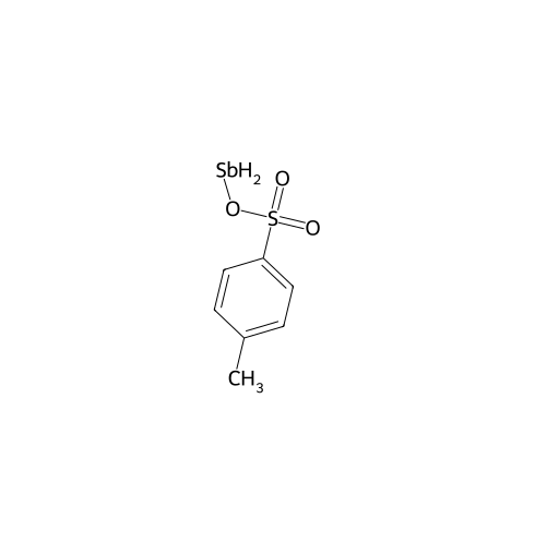 Cc1ccc(S(=O)(=O)[O][SbH2])cc1